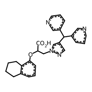 O=C(O)C(Cn1cc(C(c2cccnc2)c2cccnc2)cn1)Oc1cccc2c1CCCC2